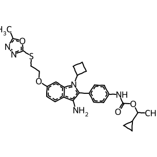 Cc1nnc(SCCOc2ccc3c(N)c(-c4ccc(NC(=O)OC(C)C5CC5)cc4)n(C4CCC4)c3c2)o1